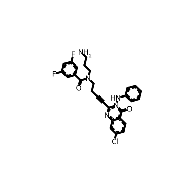 NCCCN(CCC#Cc1nc2cc(Cl)ccc2c(=O)n1Nc1ccccc1)C(=O)c1cc(F)cc(F)c1